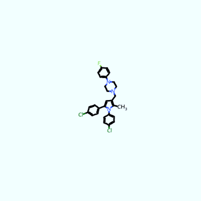 Cc1c(CN2CCN(c3ccc(F)cc3)CC2)cc(-c2ccc(Cl)cc2)n1-c1ccc(Cl)cc1